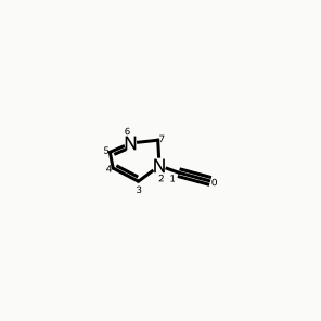 C#CN1C=CC=NC1